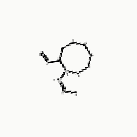 C=CC1CCCCCCN1/N=C\C